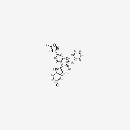 Cc1nc(-c2ccc(C3c4[nH]c5ccc(Cl)cc5c4CCN3C(=O)Oc3ccccc3)cc2)no1